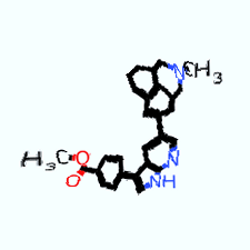 COC(=O)c1ccc(-c2c[nH]c3ncc(-c4cc5c6c(c4)CN(C)CC6CCC5)cc23)cc1